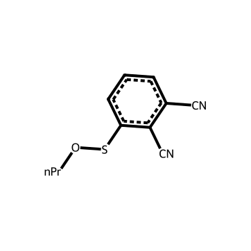 CCCOSc1cccc(C#N)c1C#N